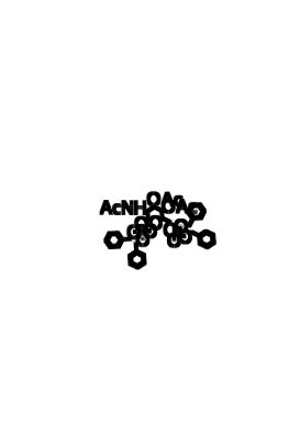 CC(=O)NC1C(OC(C)=O)[C@H](OC(C)=O)C(COP(=O)(OCc2ccccc2)OCc2ccccc2)O[C@@H]1OP(=O)(OCc1ccccc1)OCc1ccccc1